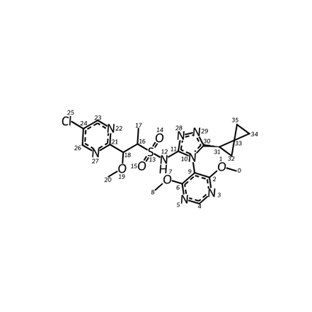 COc1ncnc(OC)c1-n1c(NS(=O)(=O)C(C)C(OC)c2ncc(Cl)cn2)nnc1[C@@H]1CC12CC2